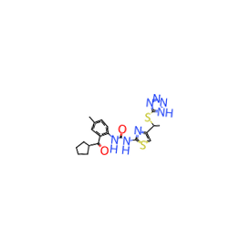 Cc1ccc(NC(=O)Nc2nc(C(C)Sc3nnn[nH]3)cs2)c(C(=O)C2CCCC2)c1